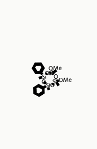 CO[Si]1(C)O[Si](C)(OC)O[Si](C)(c2ccccc2)O[Si](C)(c2ccccc2)O1